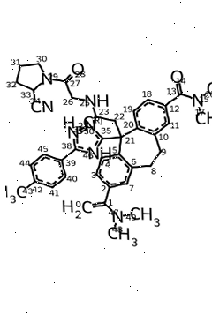 C=C(c1ccc2c(c1)CCc1cc(C(=O)N(C)C)ccc1C2(C[C@@H](C)NCC(=O)N1CCCC1C#N)c1nnc(-c2ccc(C)cc2)[nH]1)N(C)C